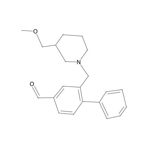 COCC1CCCN(Cc2cc(C=O)ccc2-c2ccccc2)C1